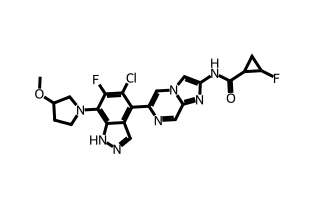 COC1CCN(c2c(F)c(Cl)c(-c3cn4cc(NC(=O)C5CC5F)nc4cn3)c3cn[nH]c23)C1